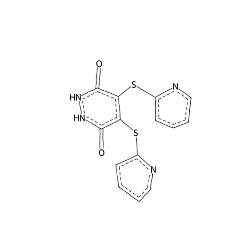 O=c1[nH][nH]c(=O)c(Sc2ccccn2)c1Sc1ccccn1